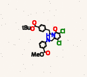 COC(=O)c1cccc(NCc2c(Cl)cc(Cl)c(=O)n2CCc2ccc(C(=O)OC(C)(C)C)cc2)c1